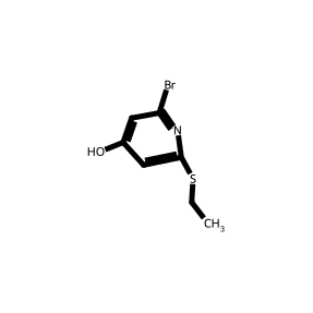 CCSc1cc(O)cc(Br)n1